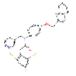 O=C(Cc1c(F)cc(F)cc1F)N(Cc1cccnc1)c1ccc(OCc2ccc3ccccc3n2)cc1